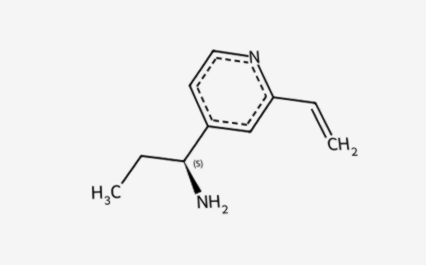 C=Cc1cc([C@@H](N)CC)ccn1